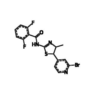 CC1N=C(NC(=O)c2c(F)cccc2F)SC1c1ccnc(Br)c1